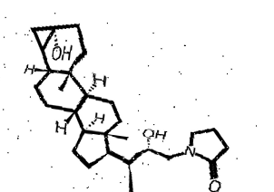 C[C@H]([C@H](O)CN1CCCC1=O)[C@H]1CC[C@H]2[C@@H]3CC[C@@H]4C5C[C@@]5(O)CC[C@]4(C)[C@H]3CC[C@]12C